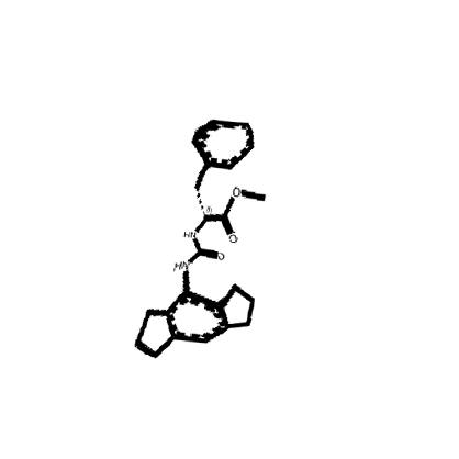 COC(=O)[C@@H](Cc1ccccc1)NC(=O)Nc1c2c(cc3c1CCC3)CCC2